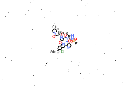 C=CC1C[C@@]1(NC(=O)[C@@H]1C[C@@H](Oc2nc(-c3ccccn3)cc3c(Cl)c(OC)ccc23)CN1C(=O)C(CC(=O)N1CCC(C(F)(F)F)CC1)C(C)(C)C)C(=O)NS(=O)(=O)C1CC1